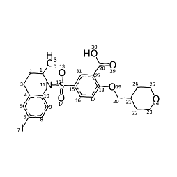 CC1CCc2cc(I)ccc2N1S(=O)(=O)c1ccc(OCC2CCOCC2)c(C(=O)O)c1